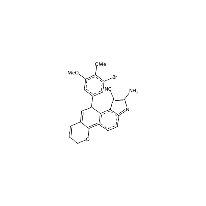 COc1cc(C2C=C3C=CCOC3=c3ccc4c(c32)C(C#N)=C(N)N=4)cc(Br)c1OC